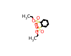 CCOS(=O)(=O)c1ccccc1S(=O)(=O)OCC